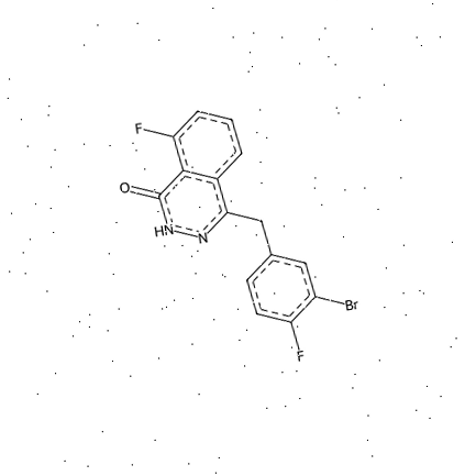 O=c1[nH]nc(Cc2ccc(F)c(Br)c2)c2cccc(F)c12